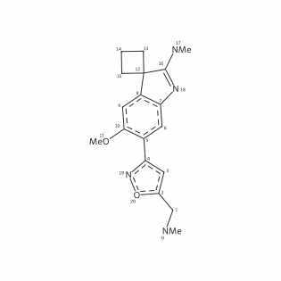 CNCc1cc(-c2cc3c(cc2OC)C2(CCC2)C(NC)=N3)no1